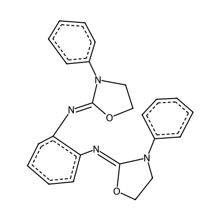 c1ccc(N2CCOC2=Nc2ccccc2N=C2OCCN2c2ccccc2)cc1